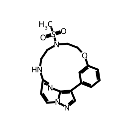 CS(=O)(=O)N1CCNc2ccn3ncc(c3n2)-c2cccc(c2)OCC1